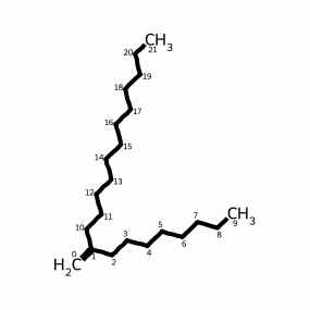 C=C(CCCCCCCC)CCCCCCCCCCCC